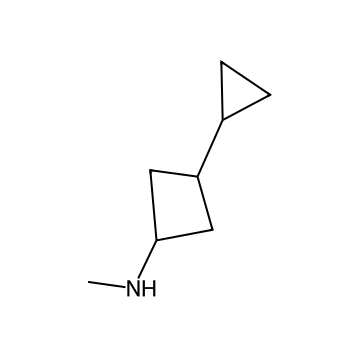 CNC1CC(C2CC2)C1